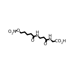 O=C(O)CNC(=O)CCNC(=O)CCCCO[N+](=O)[O-]